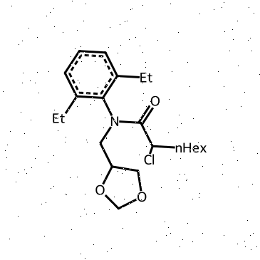 CCCCCCC(Cl)C(=O)N(CC1COCO1)c1c(CC)cccc1CC